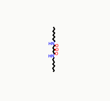 CCCCCCCCNC(=O)CC(=O)CC(=O)NCCCCCCCC